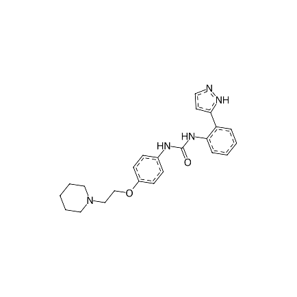 O=C(Nc1ccc(OCCN2CCCCC2)cc1)Nc1ccccc1-c1ccn[nH]1